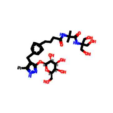 CC(C)c1[nH]nc(O[C@@H]2O[C@H](CO)[C@H](O)[C@H](O)[C@H]2O)c1Cc1ccc(CCCC(=O)NC(C)(C)C(=O)NC(CO)(CO)CO)cc1